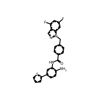 Nc1ccc(-c2cccs2)cc1NC(=O)c1ccc(Cn2ncc3c(F)cc(F)cc32)cc1